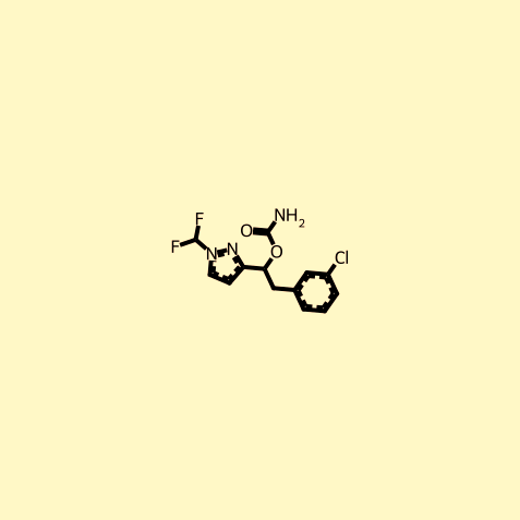 NC(=O)OC(Cc1cccc(Cl)c1)c1ccn(C(F)F)n1